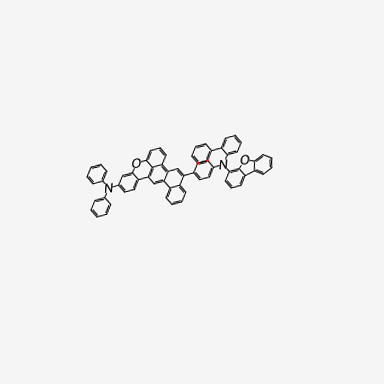 c1ccc(-c2ccccc2N(c2ccc(-c3cc4c5cccc6c5c(cc4c4ccccc34)-c3ccc(N(c4ccccc4)c4ccccc4)cc3O6)cc2)c2cccc3c2oc2ccccc23)cc1